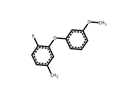 [CH2]c1ccc(F)c(Oc2cccc(OC)c2)c1